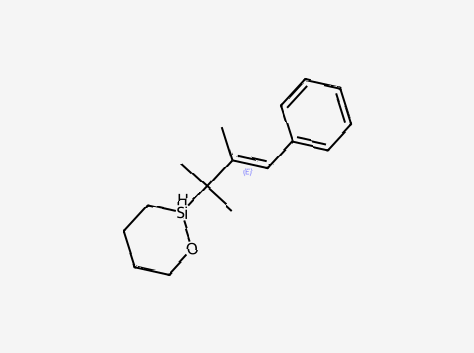 C/C(=C\c1ccccc1)C(C)(C)[SiH]1CCCCO1